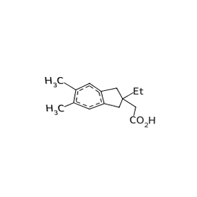 CCC1(CC(=O)O)Cc2cc(C)c(C)cc2C1